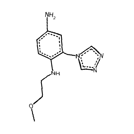 COCCNc1ccc(N)cc1-n1cnnc1